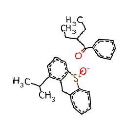 CC(C)c1cccc2c1Cc1ccccc1[S+]2[O-].CCC(CC)C(=O)c1ccccc1